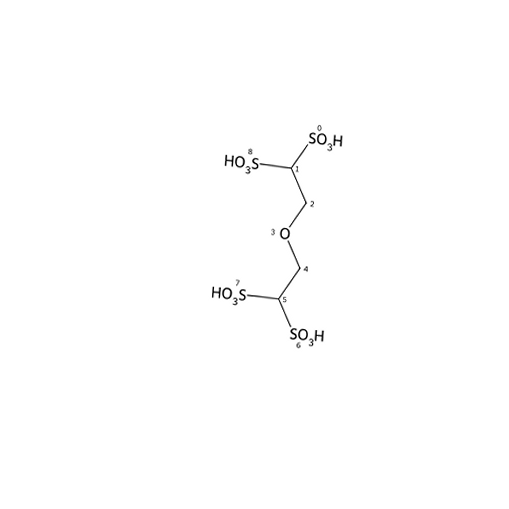 O=S(=O)(O)C(COCC(S(=O)(=O)O)S(=O)(=O)O)S(=O)(=O)O